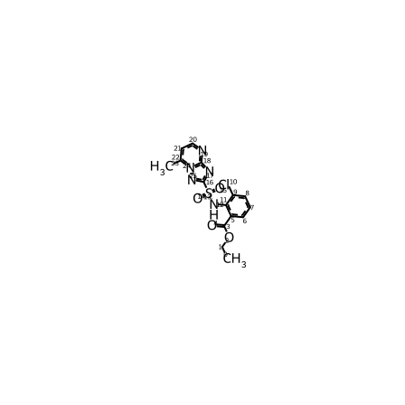 CCOC(=O)c1cccc(Cl)c1NS(=O)(=O)c1nc2nccc(C)n2n1